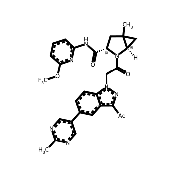 CC(=O)c1nn(CC(=O)N2[C@H](C(=O)Nc3cccc(OC(F)(F)F)n3)CC3(C)C[C@@H]23)c2ccc(-c3cnc(C)nc3)cc12